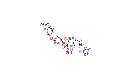 COc1ccc(Oc2ccc(S(=O)(=O)C3(C(=O)NO)CCC4(CCN(Cc5cnc[nH]5)CC4)C3)cc2)cc1